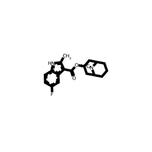 Cc1[nH]c2ccc(F)cc2c1C(=O)OC1CC2CCCC(C1)N2C